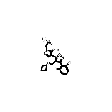 C[C@@H](O)Cn1ncc(-c2onc(-c3c(F)cccc3Cl)c2COC2CCC2)c1C(F)(F)F